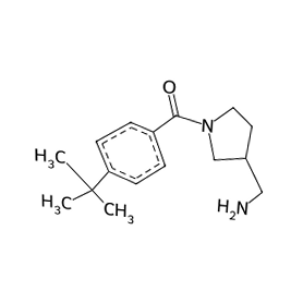 CC(C)(C)c1ccc(C(=O)N2CCC(CN)C2)cc1